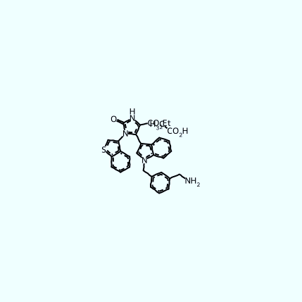 CC(=O)O.CCOC(=O)c1[nH]c(=O)n(-c2csc3ccccc23)c1-c1cn(Cc2cccc(CN)c2)c2ccccc12